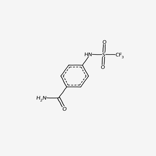 NC(=O)c1ccc(NS(=O)(=O)C(F)(F)F)cc1